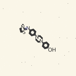 Cn1ccs/c1=N\c1ccc(N2CCN(c3ccc(O)cc3)CC2)cc1